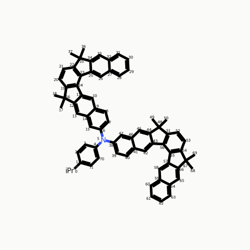 CC(C)c1ccc(N(c2ccc3cc4c(cc3c2)C(C)(C)c2ccc3c(c2-4)-c2cc4ccccc4cc2C3(C)C)c2ccc3cc4c(cc3c2)C(C)(C)c2ccc3c(c2-4)-c2cc4ccccc4cc2C3(C)C)cc1